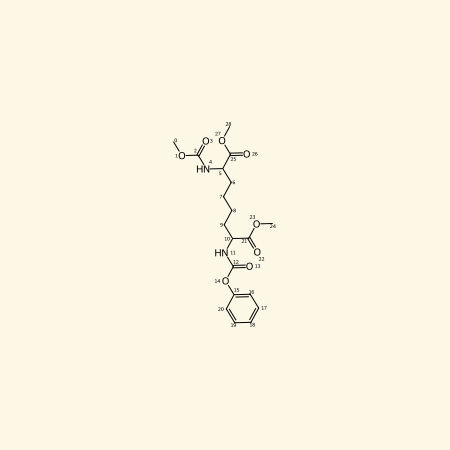 COC(=O)NC(CCCCC(NC(=O)Oc1ccccc1)C(=O)OC)C(=O)OC